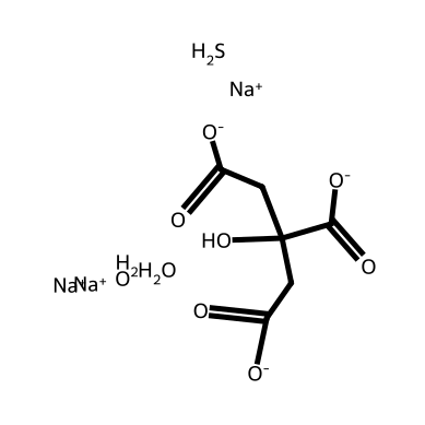 O.O.O=C([O-])CC(O)(CC(=O)[O-])C(=O)[O-].S.[Na+].[Na+].[Na+]